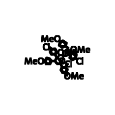 COc1ccc(C(CC(=O)c2ccc(OC)cc2Cl)C(=O)c2ccc(Cl)cc2OC)cc1.COc1ccc(CC(=O)c2ccc(Cl)cc2OC)cc1